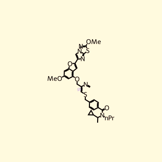 C=N/C(=C\SCc1ccc(C(=O)N(CCC)C(C)C2CC2)cc1)COc1cc(OC)cc2oc(-c3cn4nc(OC)sc4n3)cc12